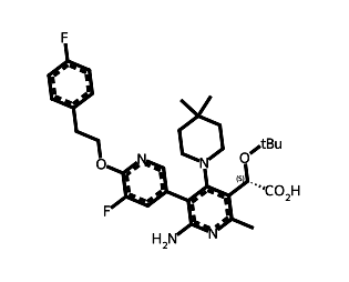 Cc1nc(N)c(-c2cnc(OCCc3ccc(F)cc3)c(F)c2)c(N2CCC(C)(C)CC2)c1[C@H](OC(C)(C)C)C(=O)O